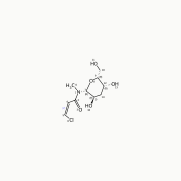 CN(C(=O)/C=C\Cl)[C@@H]1O[C@H](CO)[C@H](O)C[C@H]1O